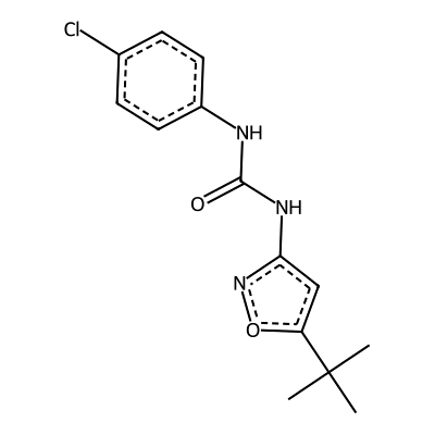 CC(C)(C)c1cc(NC(=O)Nc2ccc(Cl)cc2)no1